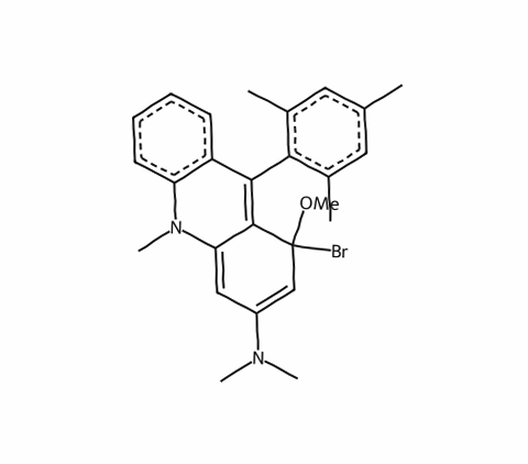 COC1(Br)C=C(N(C)C)C=C2C1=C(c1c(C)cc(C)cc1C)c1ccccc1N2C